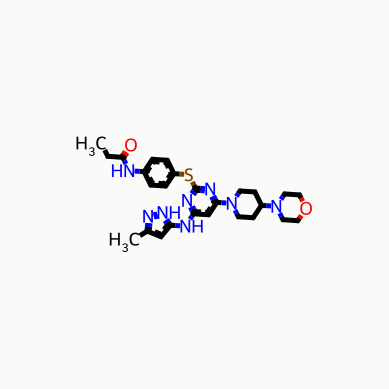 CCC(=O)Nc1ccc(Sc2nc(Nc3cc(C)n[nH]3)cc(N3CCC(N4CCOCC4)CC3)n2)cc1